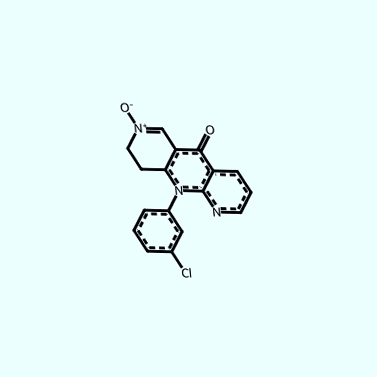 O=c1c2c(n(-c3cccc(Cl)c3)c3ncccc13)CC[N+]([O-])=C2